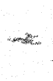 C=[N+]([O-])c1ccc(N=Nc2ccc(N(C)CC(=O)N3C[C@H](OP(OCCC#N)N(C(C)C)C(C)C)C[C@H]3COC(c3ccccc3)(c3ccc(OC)cc3)c3ccc(OC)cc3)cc2)c(Cl)c1